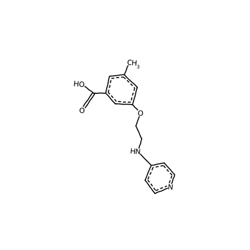 Cc1cc(OCCNc2ccncc2)cc(C(=O)O)c1